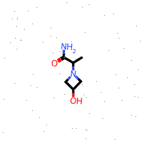 CC(C(N)=O)N1CC(O)C1